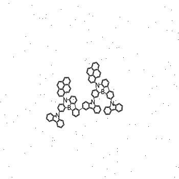 c1cc2c(c(-c3ccc4c(c3)c3ccccc3n4-c3ccc4c(c3)B3c5cc(-n6c7ccccc7c7ccccc76)ccc5-c5cccc(c53)N4c3ccc4ccc5cccc6ccc3c4c56)c1)-c1cccc3c1B2c1cc(-n2c4ccccc4c4ccccc42)ccc1N3c1ccc2ccc3cccc4ccc1c2c34